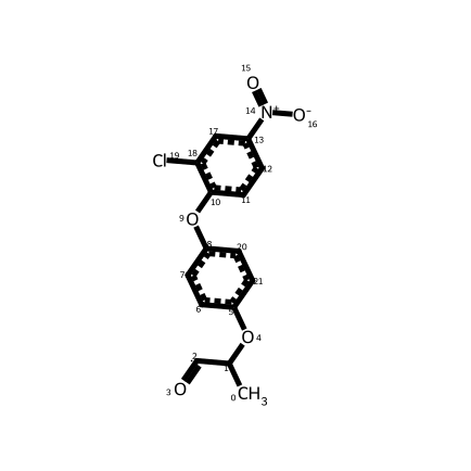 CC([C]=O)Oc1ccc(Oc2ccc([N+](=O)[O-])cc2Cl)cc1